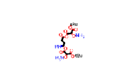 CC(C)(C)OC(=O)C(ON)C(=O)OC(=N)CCC(=O)OC(=O)C(ON)C(=O)OC(C)(C)C